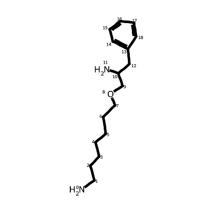 NCCCCCCCOCC(N)Cc1ccccc1